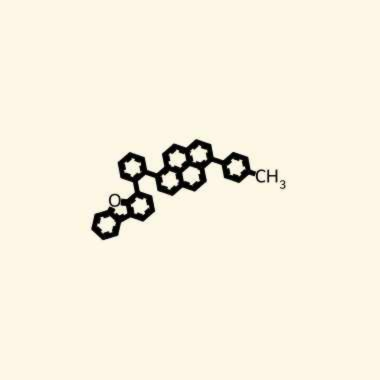 Cc1ccc(-c2ccc3ccc4c(-c5ccccc5-c5cccc6c5oc5ccccc56)ccc5ccc2c3c54)cc1